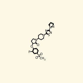 CS(=O)(=O)c1ccc(OC2CCN(C3CCN(c4nc(-n5cccn5)ns4)CC3)C2=O)c(F)c1